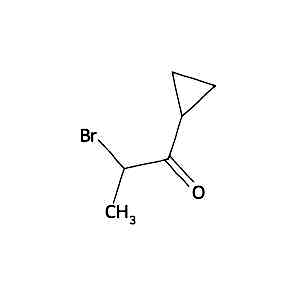 CC(Br)C(=O)C1CC1